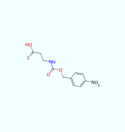 O=C(NCCC(O)=S)OCc1ccc([N+](=O)[O-])cc1